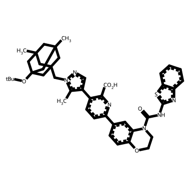 Cc1c(-c2ccc(-c3ccc4c(c3)N(C(=O)Nc3nc5ccccc5s3)CCO4)nc2C(=O)O)cnn1CC12CC3(C)CC(C)(C1)CC(OC(C)(C)C)(C3)C2